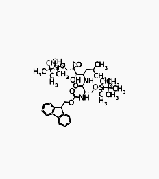 CC(C)CC(NC(=O)[C@H](CO[Si](C)(C)C(C)(C)C)NC(=O)OCC1c2ccccc2-c2ccccc21)[C@H](O)[C@@]1(CO[Si](C)(C)C(C)(C)C)CO1